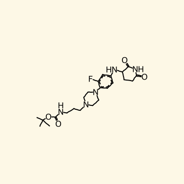 CC(C)(C)OC(=O)NCCCN1CCN(c2ccc(NC3CCC(=O)NC3=O)cc2F)CC1